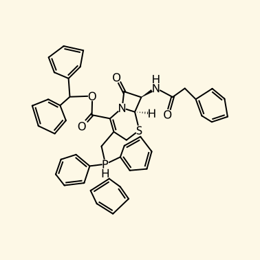 O=C(Cc1ccccc1)N[C@@H]1C(=O)N2C(C(=O)OC(c3ccccc3)c3ccccc3)=C(C[PH](c3ccccc3)(c3ccccc3)c3ccccc3)CS[C@H]12